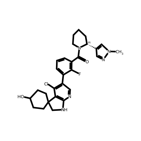 Cn1cc([C@H]2CCCCN2C(=O)c2cccc(-c3cnc4c(c3Cl)C3(CCC(O)CC3)CN4)c2F)cn1